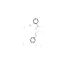 CCOc1ccccc1C(O)CNCCc1ccc(OC)c(OC)c1.Cl